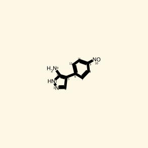 Nc1[nH]ncc1-c1ccc(N=O)cc1